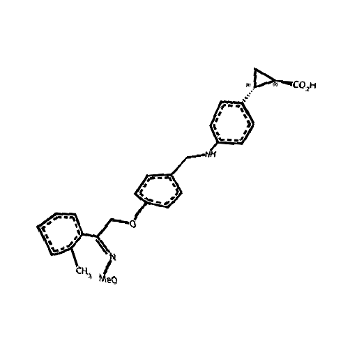 CON=C(COc1ccc(CNc2ccc([C@@H]3C[C@H]3C(=O)O)cc2)cc1)c1ccccc1C